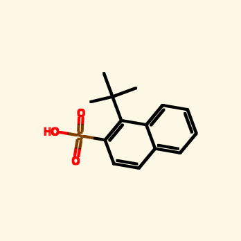 CC(C)(C)c1c(S(=O)(=O)O)ccc2ccccc12